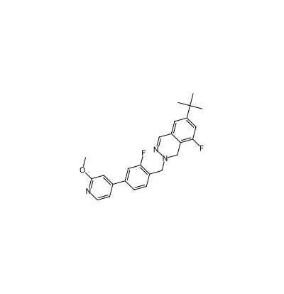 COc1cc(-c2ccc(CN3Cc4c(F)cc(C(C)(C)C)cc4C=N3)c(F)c2)ccn1